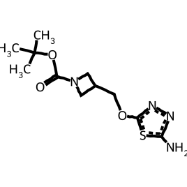 CC(C)(C)OC(=O)N1CC(COc2nnc(N)s2)C1